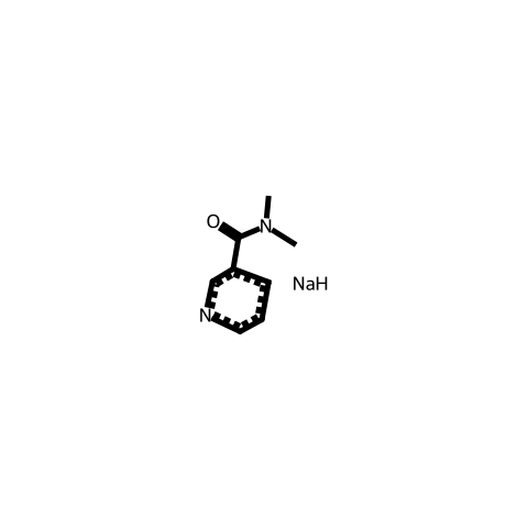 CN(C)C(=O)c1cccnc1.[NaH]